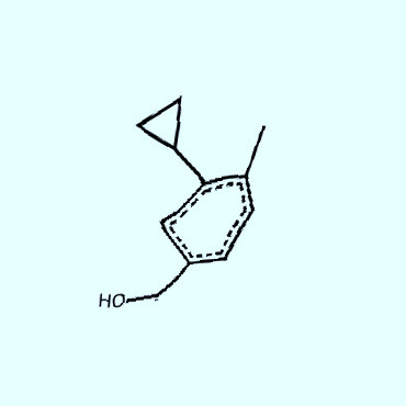 Cc1ccc([CH]O)cc1C1CC1